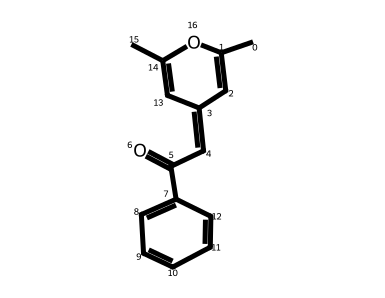 CC1=CC(=CC(=O)c2ccccc2)C=C(C)O1